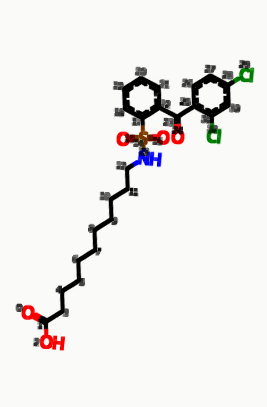 O=C(O)CCCCCCCCCCNS(=O)(=O)c1ccccc1C(=O)c1ccc(Cl)cc1Cl